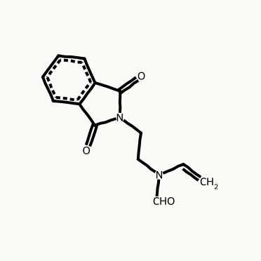 C=CN(C=O)CCN1C(=O)c2ccccc2C1=O